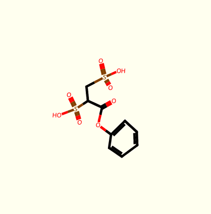 O=C(Oc1ccccc1)C(CS(=O)(=O)O)S(=O)(=O)O